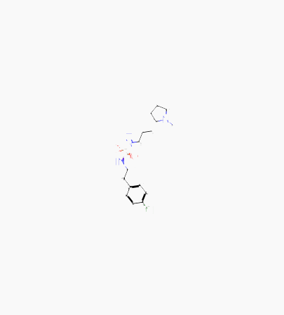 CN1CCC[C@H]1CCCNS(=O)(=O)NCCc1ccc(Cl)cc1